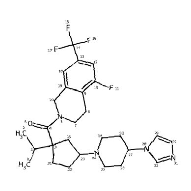 CC(C)C1(C(=O)N2CCc3c(F)cc(C(F)(F)F)cc3C2)CCC(N2CCC(n3ccnc3)CC2)C1